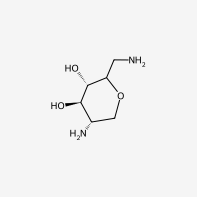 NCC1OC[C@H](N)[C@@H](O)[C@@H]1O